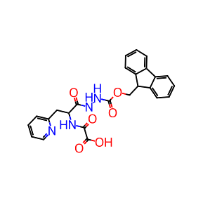 O=C(NNC(=O)C(Cc1ccccn1)NC(=O)C(=O)O)OCC1c2ccccc2-c2ccccc21